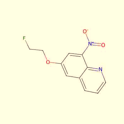 O=[N+]([O-])c1cc(OCCF)cc2cccnc12